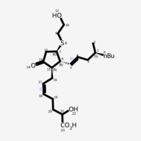 CCCC[C@H](C)C/C=C/[C@H]1[C@H](SCCO)CC(=O)[C@@H]1C/C=C\CCC(O)C(=O)O